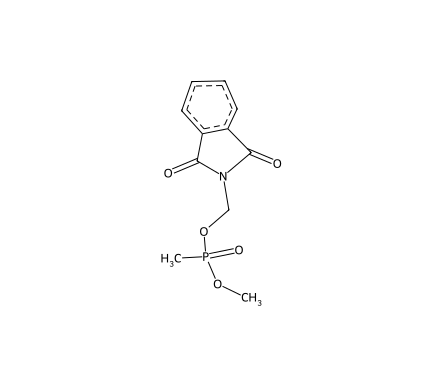 COP(C)(=O)OCN1C(=O)c2ccccc2C1=O